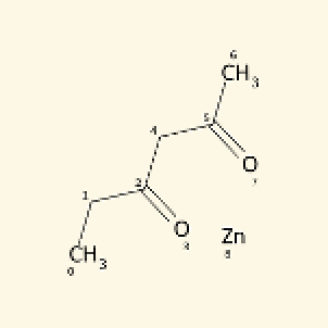 CCC(=O)CC(C)=O.[Zn]